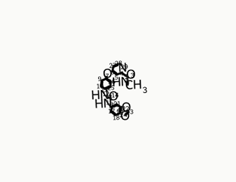 CNC(=O)c1cc(Oc2ccc(NC(=O)Nc3ccc4c(c3)OCO4)cc2)ccn1